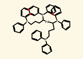 c1ccc(P(CCC[CH]([Pd][CH](CCCP(c2ccccc2)c2ccccc2)P(c2ccccc2)c2ccccc2)P(c2ccccc2)c2ccccc2)c2ccccc2)cc1